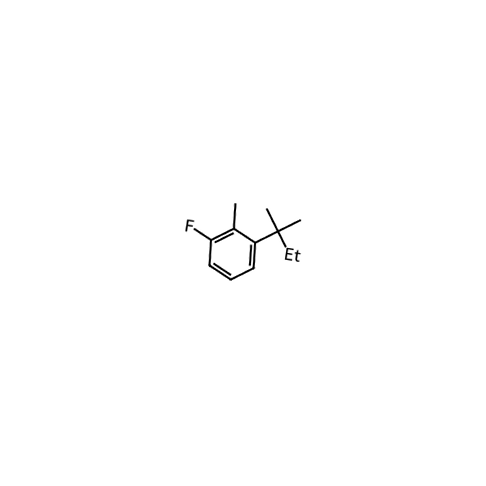 CCC(C)(C)c1cccc(F)c1C